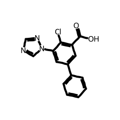 O=C(O)c1cc(-c2ccccc2)cc(-n2cncn2)c1Cl